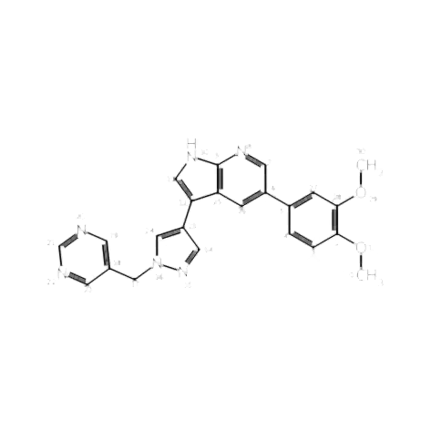 COc1ccc(-c2cnc3[nH]cc(-c4cnn(Cc5cncnc5)c4)c3c2)cc1OC